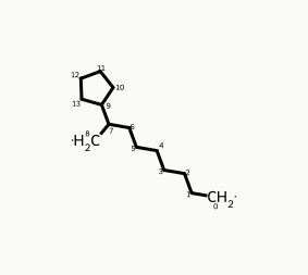 [CH2]CCCCCCC([CH2])C1CCCC1